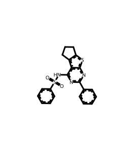 O=S(=O)(Nc1nc(-c2ccccc2)nc2sc3c(c12)CCC3)c1ccccc1